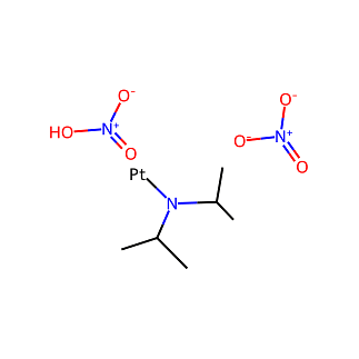 CC(C)[N]([Pt])C(C)C.O=[N+]([O-])O.O=[N+]([O-])[O-]